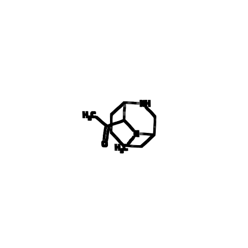 CC(=O)C1C2CCCCC(CN2)N1C